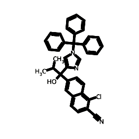 CC(C)C(O)(c1ccc2c(Cl)c(C#N)ccc2c1)c1cn(C(c2ccccc2)(c2ccccc2)c2ccccc2)cn1